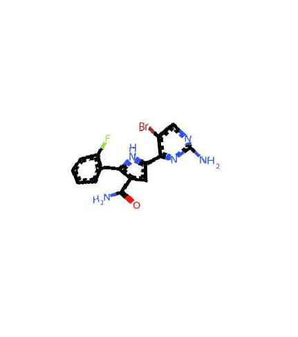 NC(=O)c1cc(-c2nc(N)ncc2Br)[nH]c1-c1ccccc1F